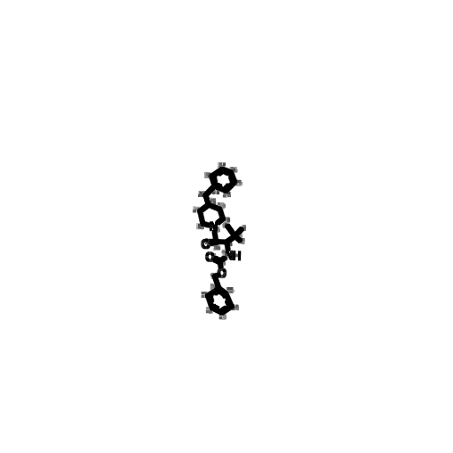 CC(C)(C)C(NC(=O)OCc1ccccc1)C(=O)N1CCC(Cc2ccccc2)CC1